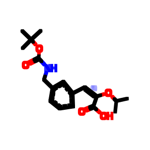 CC(C)O/C(=C/c1cccc(CNC(=O)OC(C)(C)C)c1)C(=O)O